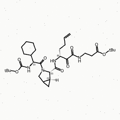 C=CCC[C@@H](NC(=O)[C@@H]1[C@H]2CC2CN1C(=O)[C@@H](NC(=O)OC(C)(C)C)C1CCCCC1)C(=O)C(=O)NCCC(=O)OC(C)(C)C